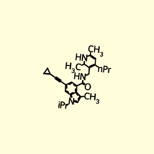 CCCC1=C(CNC(=O)c2cc(C#CC3CC3)cc3c2c(C)cn3C(C)C)C(C)NC(C)=C1